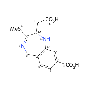 CSC1=NCc2ccc(C(=O)O)cc2NC1CC(=O)O